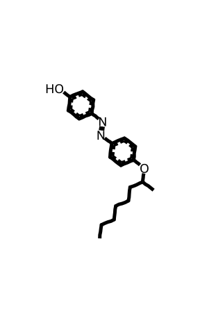 CCCCCCC(C)Oc1ccc(N=Nc2ccc(O)cc2)cc1